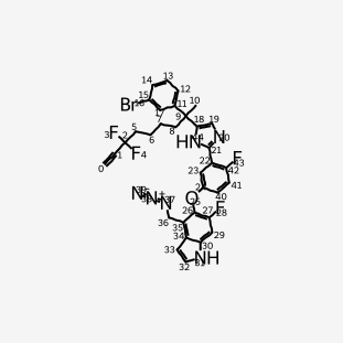 C#CC(F)(F)CCCCC(C)(c1cccc(Br)c1)c1cnc(-c2cc(Oc3c(F)cc4[nH]ccc4c3CN=[N+]=[N-])ccc2F)[nH]1